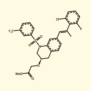 COC(=O)CO[C@@H]1Cc2ccc(/C=C(\C)c3c(F)cccc3Cl)cc2N(S(=O)(=O)c2cccc(C(F)(F)F)c2)C1